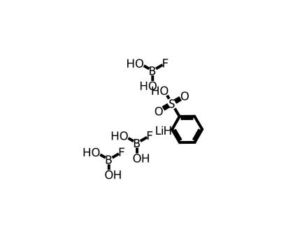 O=S(=O)(O)c1ccccc1.OB(O)F.OB(O)F.OB(O)F.[LiH]